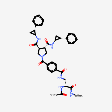 CCCCCCNC(=O)[C@@H](CNC(=O)c1ccc(C(=O)N2C[C@@H](C(=O)N[C@H]3C[C@@H]3c3ccccc3)[C@H](C(=O)N[C@H]3C[C@@H]3c3ccccc3)C2)cc1)NC(=O)CCCCCC